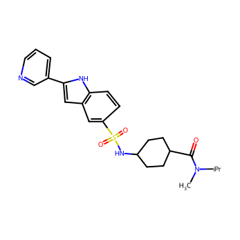 CC(C)N(C)C(=O)C1CCC(NS(=O)(=O)c2ccc3[nH]c(-c4cccnc4)cc3c2)CC1